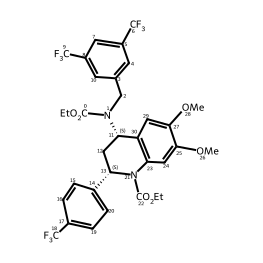 CCOC(=O)N(Cc1cc(C(F)(F)F)cc(C(F)(F)F)c1)[C@H]1C[C@@H](c2ccc(C(F)(F)F)cc2)N(C(=O)OCC)c2cc(OC)c(OC)cc21